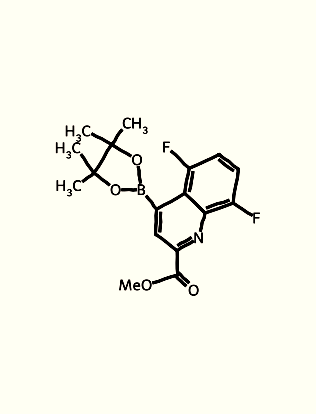 COC(=O)c1cc(B2OC(C)(C)C(C)(C)O2)c2c(F)ccc(F)c2n1